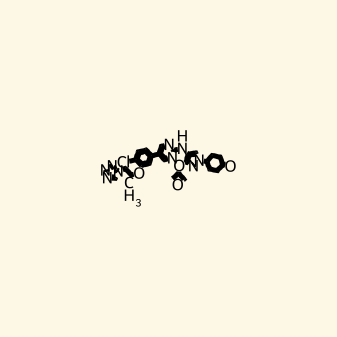 C[C@@H](Cn1cnnn1)Oc1cc(-c2cnc(Nc3cn(C4CCC(=O)CC4)nc3OC3COC3)nc2)ccc1Cl